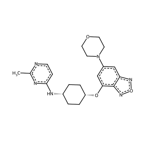 Cc1nccc(N[C@H]2CC[C@@H](Oc3cc(N4CCOCC4)cc4nonc34)CC2)n1